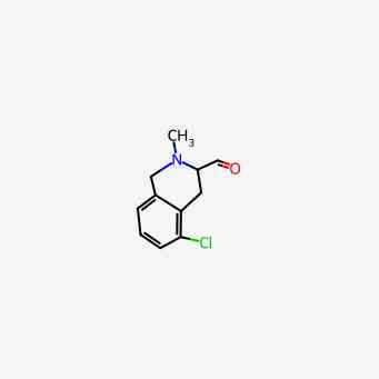 CN1Cc2cccc(Cl)c2CC1C=O